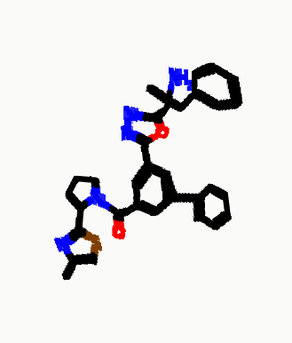 Cc1csc(C2CCCN2C(=O)c2cc(-c3ccccc3)cc(-c3nnc(C(C)(N)Cc4ccccc4)o3)c2)n1